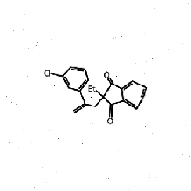 C=C(CC1(CC)C(=O)c2ccccc2C1=O)c1cccc(Cl)c1